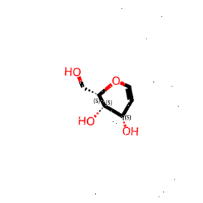 OC[C@@H]1OC=C[C@H](O)[C@@H]1O